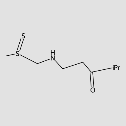 CC(C)C(=O)CCNCS(C)=S